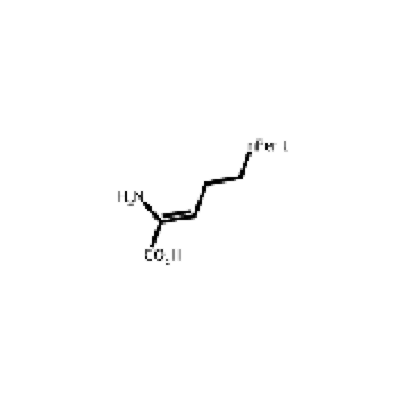 CCCCCCCC=C(N)C(=O)O